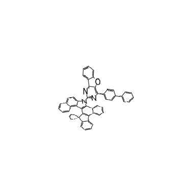 c1ccc(-c2ccc(-c3nc(-n4c5ccc6ccccc6c5c5c6c(c7ccccc7c54)-c4ccccc4C64CCCCC4)nc4c3oc3ccccc34)cc2)cc1